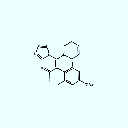 COc1cc(F)c(-c2c(Cl)nc3ncnn3c2N2CC=CCC2)c(F)c1